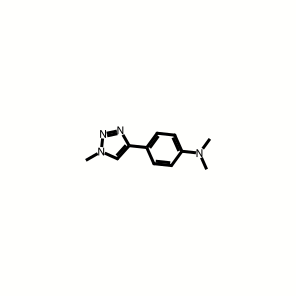 CN(C)c1ccc(-c2cn(C)nn2)cc1